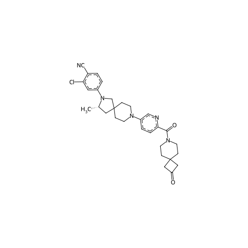 C[C@H]1CC2(CCN(c3ccc(C(=O)N4CCC5(CC4)CC(=O)C5)nc3)CC2)CN1c1ccc(C#N)c(Cl)c1